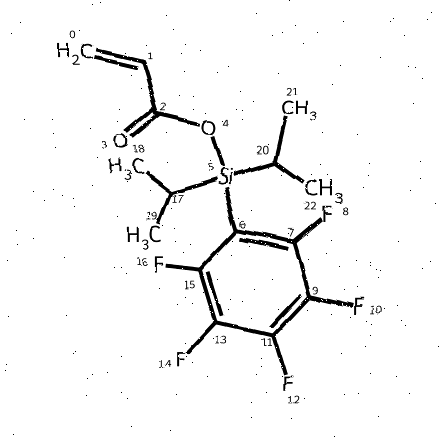 C=CC(=O)O[Si](c1c(F)c(F)c(F)c(F)c1F)(C(C)C)C(C)C